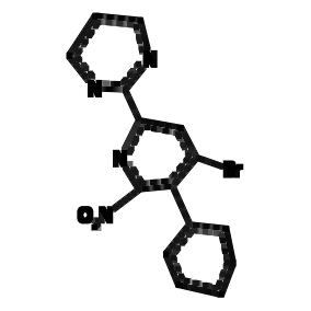 O=[N+]([O-])c1nc(-c2ncccn2)cc(Br)c1-c1ccccc1